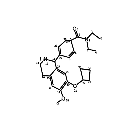 CCN(CC)C(=O)c1ccc(C2NCCc3cc(OC)c(OC4CCC4)cc32)cc1